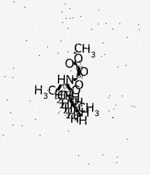 [2H]C([2H])([2H])C([2H])(C)C([2H])([2H])C([2H])([2H])NC(=O)[C@H](CC(C)C)NC(=O)[C@H]1O[C@@H]1C(=O)OCC